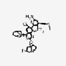 Nc1cc(C#CSI)c(C(F)(F)F)c(-c2c(Cl)cc3c(N4CC5CCC(C4)N5)nc(OC[C@@]45CCCN4CC(F)C5)nc3c2F)n1